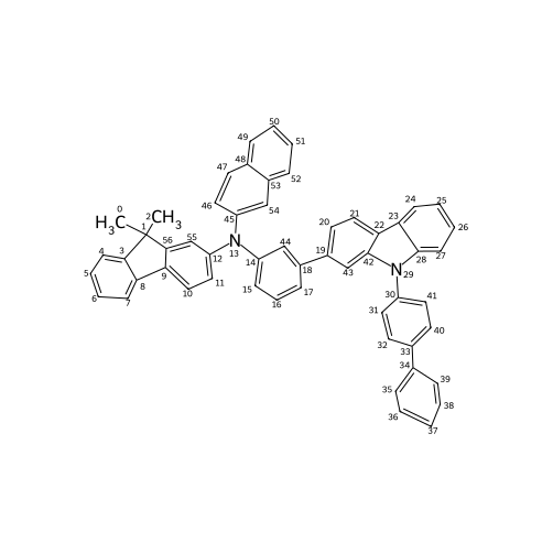 CC1(C)c2ccccc2-c2ccc(N(c3cccc(-c4ccc5c6ccccc6n(-c6ccc(-c7ccccc7)cc6)c5c4)c3)c3ccc4ccccc4c3)cc21